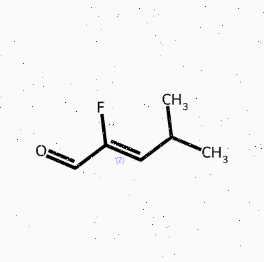 CC(C)/C=C(\F)C=O